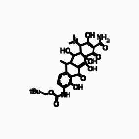 CC1c2ccc(NC(=O)OCC(C)(C)C)c(O)c2C(=O)C2=C(O)C3(O)C(=O)C(C(N)=O)=C(O)C(N(C)C)C3C(O)C21